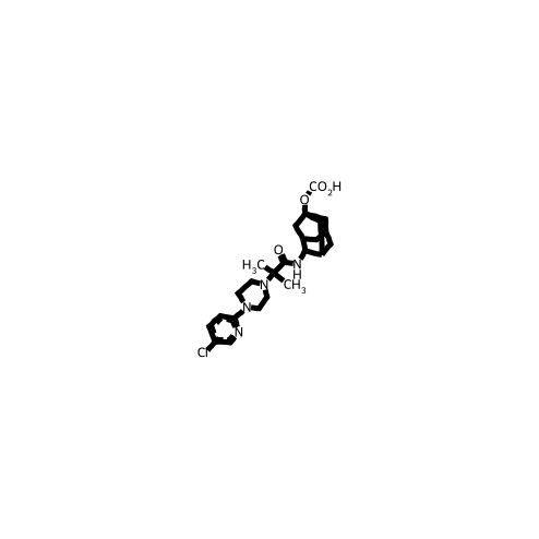 CC(C)(C(=O)NC1C2CC3CC1CC(OC(=O)O)(C3)C2)N1CCN(c2ccc(Cl)cn2)CC1